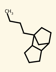 CCC[CH]C12CCC(C1)C1CCCC12